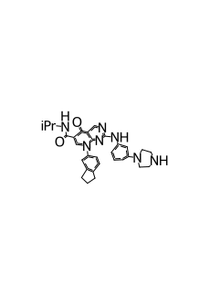 CC(C)NC(=O)c1cn(-c2ccc3c(c2)CCC3)c2nc(Nc3cccc(N4CCNCC4)c3)ncc2c1=O